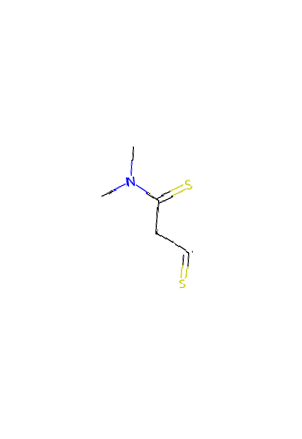 CN(C)C(=S)C[C]=S